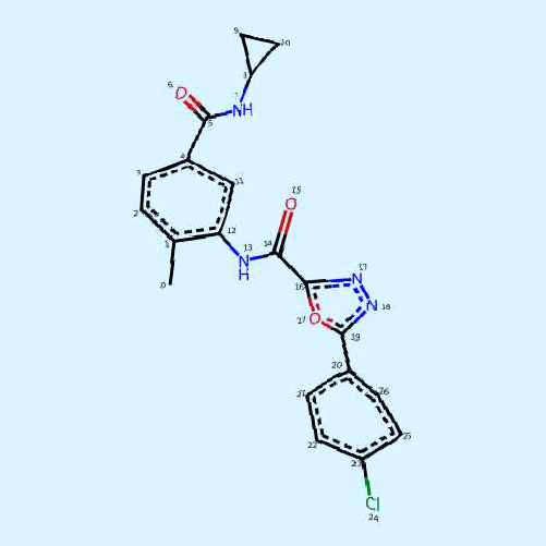 Cc1ccc(C(=O)NC2CC2)cc1NC(=O)c1nnc(-c2ccc(Cl)cc2)o1